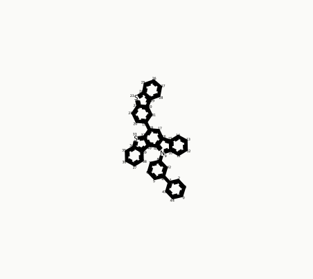 c1ccc(-c2cccc(-n3c4ccccc4c4cc(-c5ccc6sc7ccccc7c6c5)c5sc6ccccc6c5c43)c2)cc1